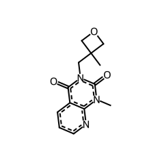 Cn1c(=O)n(CC2(C)COC2)c(=O)c2cccnc21